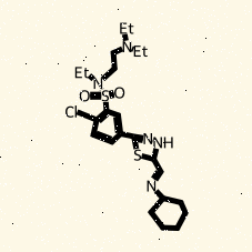 CCN(CC)CCN(CC)S(=O)(=O)c1cc(C2=NNC(C=NC3CCCCC3)S2)ccc1Cl